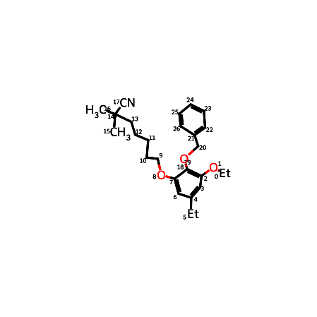 CCOc1cc(CC)cc(OCCCCCC(C)(C)C#N)c1OCc1ccccc1